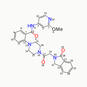 COc1cc(NC(=O)c2ccccc2N2CCN(C(=O)CN3Cc4ccccc4C3=O)CC2)ccn1